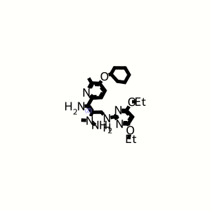 CCOc1cc(OCC)nc(NC/C(=C(/N)c2ccc(OC3CCCCC3)c(C)n2)N(C)N)n1